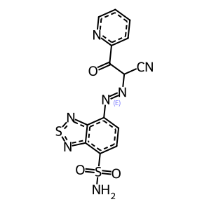 N#CC(/N=N/c1ccc(S(N)(=O)=O)c2nsnc12)C(=O)c1ccccn1